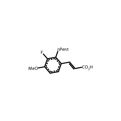 CCCCCc1c(/C=C/C(=O)O)ccc(OC)c1F